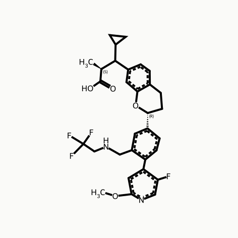 COc1cc(-c2ccc([C@H]3CCc4ccc(C(C5CC5)[C@H](C)C(=O)O)cc4O3)cc2CNCC(F)(F)F)c(F)cn1